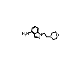 Nc1cccc2c1cnn2CCN1CCOCC1